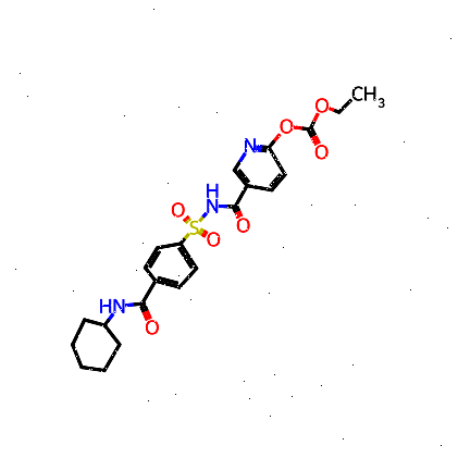 CCOC(=O)Oc1ccc(C(=O)NS(=O)(=O)c2ccc(C(=O)NC3CCCCC3)cc2)cn1